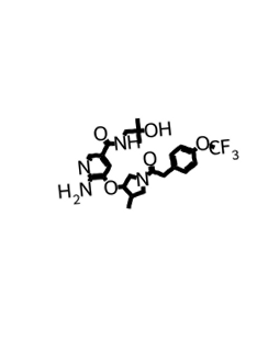 CC1CN(C(=O)Cc2ccc(OC(F)(F)F)cc2)CC1Oc1cc(C(=O)NCC(C)(C)O)cnc1N